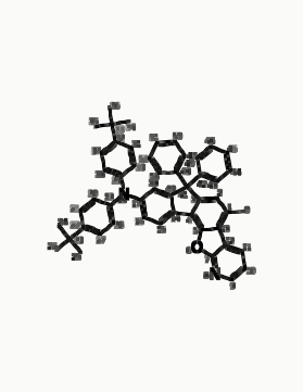 Cc1cc2c(c3oc4ncccc4c13)-c1ccc(N(c3ccc(C(C)(C)C)cc3)c3ccc(C(C)(C)C)cc3)cc1C2(c1ccccc1)c1ccccc1